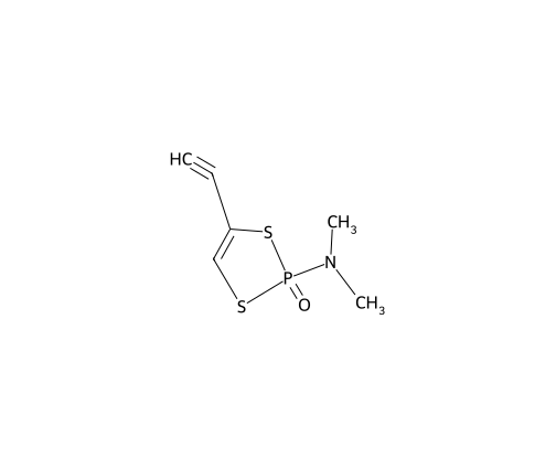 C#CC1=CSP(=O)(N(C)C)S1